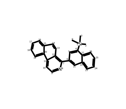 C[Si](C)(C)c1cc(-c2nccc3c2ccc2ccccc23)cc2ccccc12